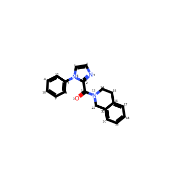 O=C(c1nccn1-c1ccccc1)N1CCc2ccccc2C1